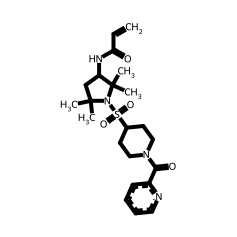 C=CC(=O)NC1CC(C)(C)N(S(=O)(=O)C2CCN(C(=O)c3ccccn3)CC2)C1(C)C